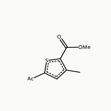 COC(=O)c1sc(C(C)=O)cc1C